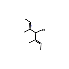 C/C=C(\C)C(O)/C(C)=C/C